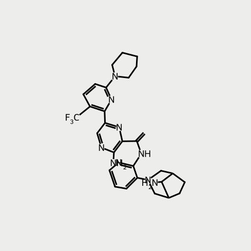 C=C(Nc1ncccc1N1CC2CCC(C1)C2N)c1nc(-c2nc(N3CCCCC3)ccc2C(F)(F)F)cnc1N